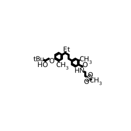 CCC(CCc1ccc(C(=O)NCCS(C)(=O)=O)c(C)c1)c1ccc(OCC(O)C(C)(C)C)c(C)c1